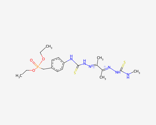 CCOP(=O)(Cc1ccc(NC(=S)N/N=C(C)/C(C)=N/NC(=S)NC)cc1)OCC